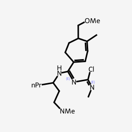 CCCC(CCNC)N/C(=N/C(Cl)=N\C)C1=CC=C(C)C(COC)CC1